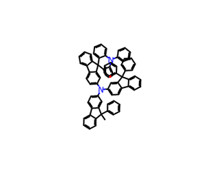 CC1(c2ccccc2)c2ccccc2-c2ccc(N(c3ccc4c(c3)C(c3ccccc3)(c3ccccc3)c3ccccc3-4)c3ccc4c(c3)C3(c5ccccc5-4)c4ccccc4N(c4ccccc4)c4ccccc43)cc21